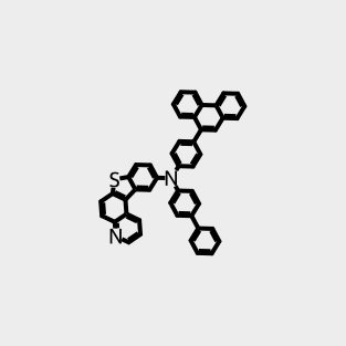 c1ccc(-c2ccc(N(c3ccc(-c4cc5ccccc5c5ccccc45)cc3)c3ccc4sc5ccc6ncccc6c5c4c3)cc2)cc1